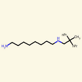 CCCC(C)(CCC)CNCCCCCCCCN